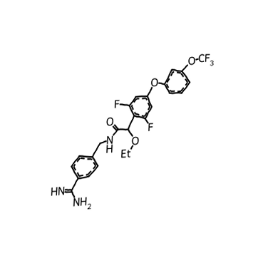 CCOC(C(=O)NCc1ccc(C(=N)N)cc1)c1c(F)cc(Oc2cccc(OC(F)(F)F)c2)cc1F